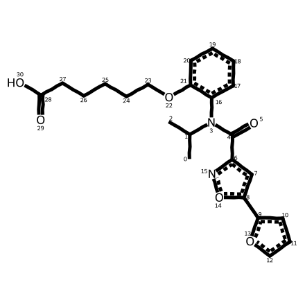 CC(C)N(C(=O)c1cc(-c2ccco2)on1)c1ccccc1OCCCCCC(=O)O